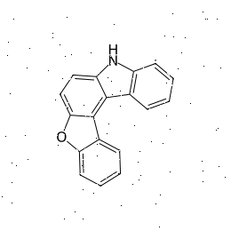 [c]1cccc2c1[nH]c1ccc3oc4ccccc4c3c12